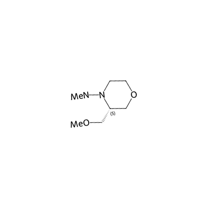 CNN1CCOC[C@@H]1COC